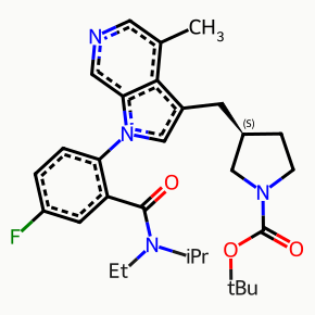 CCN(C(=O)c1cc(F)ccc1-n1cc(C[C@H]2CCN(C(=O)OC(C)(C)C)C2)c2c(C)cncc21)C(C)C